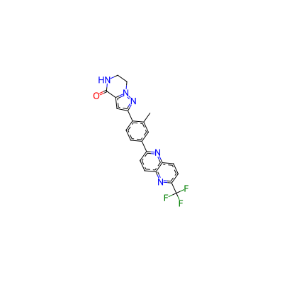 Cc1cc(-c2ccc3nc(C(F)(F)F)ccc3n2)ccc1-c1cc2n(n1)CCNC2=O